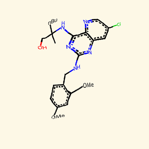 CCCCC(C)(CO)Nc1nc(NCc2ccc(OC)cc2OC)nc2cc(Cl)cnc12